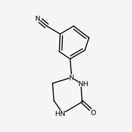 N#Cc1cccc(N2CCNC(=O)N2)c1